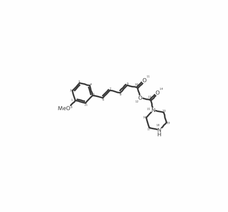 COc1cccc(/C=C/C=C/C(=O)OC(=O)N2CCNCC2)c1